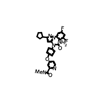 CNC(=O)c1cc(Oc2ccc(N(C(N)=O)c3cc(C4CCCC4)nn3-c3cc(F)cc(F)c3)cc2)ccn1